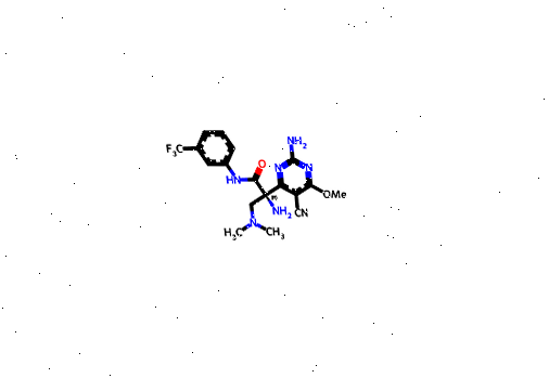 COc1nc(N)nc([C@](N)(CN(C)C)C(=O)Nc2cccc(C(F)(F)F)c2)c1C#N